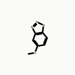 COc1ccc2c(c1)N=N[N]2